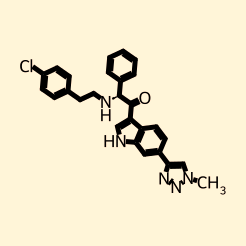 Cn1cc(-c2ccc3c(C(=O)[C@H](NCCc4ccc(Cl)cc4)c4ccccc4)c[nH]c3c2)nn1